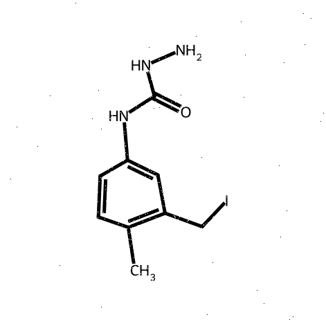 Cc1ccc(NC(=O)NN)cc1CI